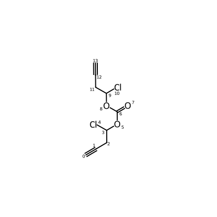 C#CCC(Cl)OC(=O)OC(Cl)CC#C